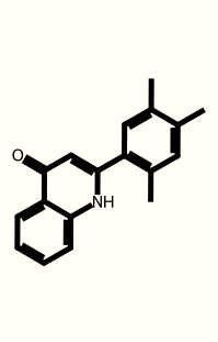 Cc1cc(C)c(-c2cc(=O)c3ccccc3[nH]2)cc1C